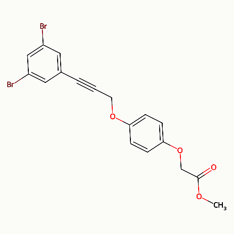 COC(=O)COc1ccc(OCC#Cc2cc(Br)cc(Br)c2)cc1